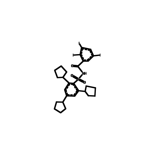 O=C(NS(=O)(=O)c1c(C2CCCC2)cc(C2CCCC2)cc1C1CCCC1)c1cc(I)cc(I)c1I